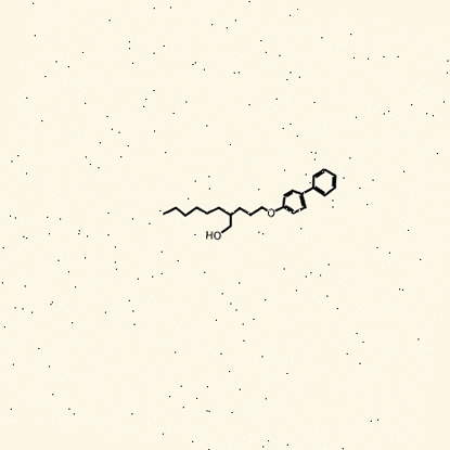 CCCCCCC(CO)CCCOc1ccc(-c2ccccc2)cc1